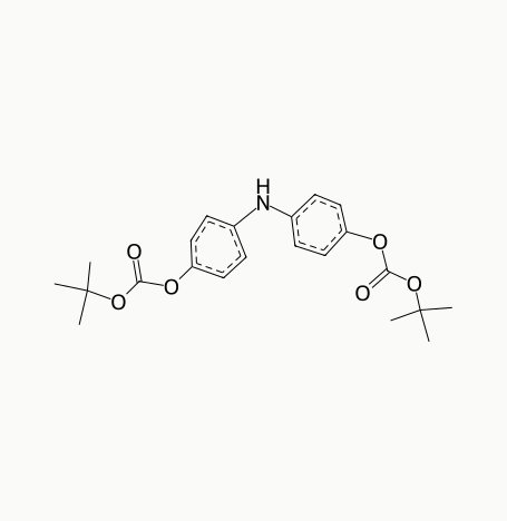 CC(C)(C)OC(=O)Oc1ccc(Nc2ccc(OC(=O)OC(C)(C)C)cc2)cc1